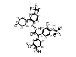 COc1cc(C(C(=O)NCc2ccc(C(F)(F)F)nc2N2CCC(C)CC2)c2ccc(NS(C)(=O)=O)c(F)c2)ccc1O